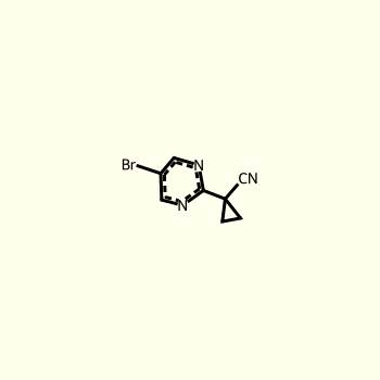 N#CC1(c2ncc(Br)cn2)CC1